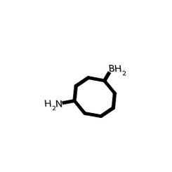 BC1CCCCC(N)CC1